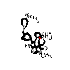 CN1C(=O)C2(CCN(C=O)CC2)c2c1cnc1[nH]c(-c3ccc(CN4CCC([S+](C)[O-])CC4)cc3)c(-c3ccccc3)c21